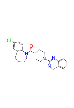 O=C(C1CCN(c2ncc3ccccc3n2)CC1)N1CCCCc2cc(Cl)ccc21